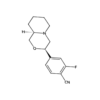 N#Cc1ccc([C@@H]2CN3CCCC[C@@H]3CO2)cc1F